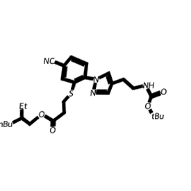 CCCCC(CC)COC(=O)CCSc1cc(C#N)ccc1-n1cc(CCNC(=O)OC(C)(C)C)cn1